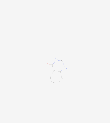 O=c1c2ccccc2ncn1CCO